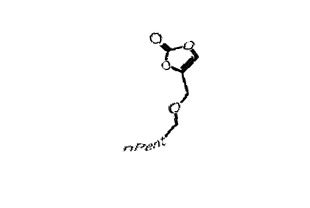 CCCCCCOCc1coc(=O)o1